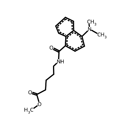 COC(=O)CCCCNC(=O)c1ccc(N(C)C)c2ccccc12